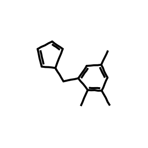 Cc1cc(C)c(C)c(C[C]2C=CC=C2)c1